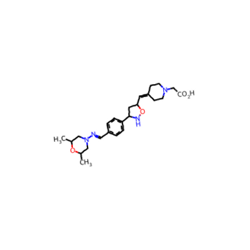 CC1CN(N=Cc2ccc(C3CC(C=C4CCN(CC(=O)O)CC4)ON3)cc2)CC(C)O1